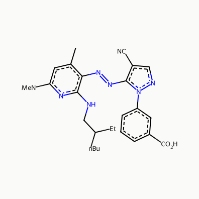 CCCCC(CC)CNc1nc(NC)cc(C)c1N=Nc1c(C#N)cnn1-c1cccc(C(=O)O)c1